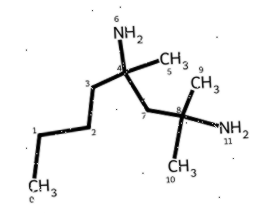 CCCCC(C)(N)CC(C)(C)N